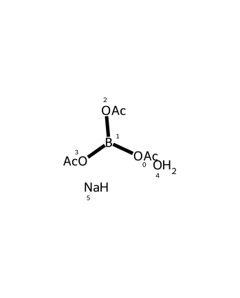 CC(=O)OB(OC(C)=O)OC(C)=O.O.[NaH]